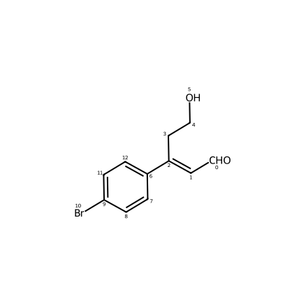 O=CC=C(CCO)c1ccc(Br)cc1